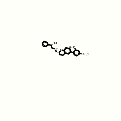 CC(C)COc1cc(C(=O)O)ccc1-c1ccc2c(c1)CC[C@H](CNC[C@@H](O)c1cccnc1)O2